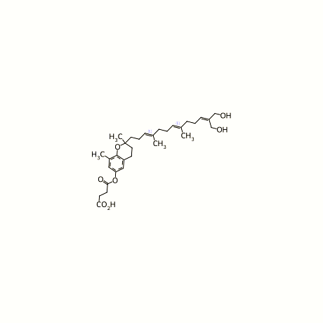 C/C(=C\CC/C(C)=C/CCC1(C)CCc2cc(OC(=O)CCC(=O)O)cc(C)c2O1)CCC=C(CO)CO